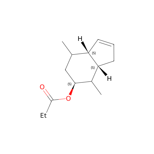 CCC(=O)O[C@H]1CC(C)[C@@H]2C=CC[C@@H]2C1C